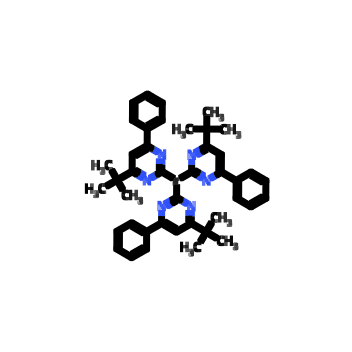 CC(C)(C)c1cc(-c2ccccc2)n[c]([Ir]([c]2nc(-c3ccccc3)cc(C(C)(C)C)n2)[c]2nc(-c3ccccc3)cc(C(C)(C)C)n2)n1